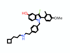 COc1ccc(-c2c(F)c3cc(O)ccc3n2Cc2ccc(CCNCCCC3CCC3)cc2)c(C)c1